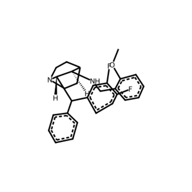 COc1ccccc1CN[C@@H]1C2CCN(CC2)[C@H]1C(c1ccccc1)c1ccc(F)c(F)c1